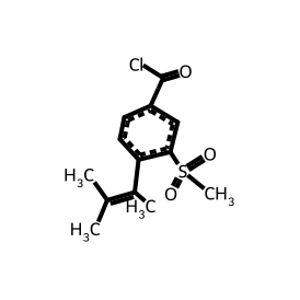 CC(C)=C(C)c1ccc(C(=O)Cl)cc1S(C)(=O)=O